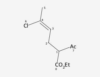 CCOC(=O)C(CC=C(C)Cl)C(C)=O